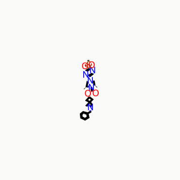 C[C@@H]1CN(c2cnc(S(C)(=O)=O)cn2)C[C@H](C)N1C(=O)OC1CC2(C1)CN(Cc1ccccc1)C2